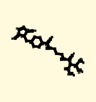 CN[C@@H](C(=O)NCCCNC(=O)C1CCC(CN2C(=O)C=CC2=O)CC1)C(C)C